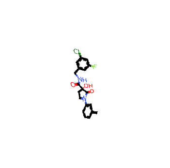 Cc1cccc(N2CC[C@@](O)(C(=O)NCc3cc(F)cc(Cl)c3)C2=O)c1